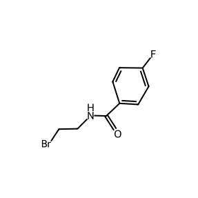 O=C(NCCBr)c1ccc(F)cc1